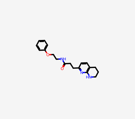 O=C(CCc1ccc2c(n1)NCCC2)NCCOc1ccccc1